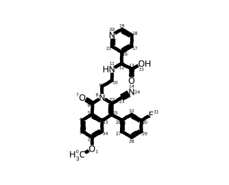 COc1ccc2c(=O)n(CCNC(C(=O)O)c3cccnc3)c(C#N)c(-c3cccc(F)c3)c2c1